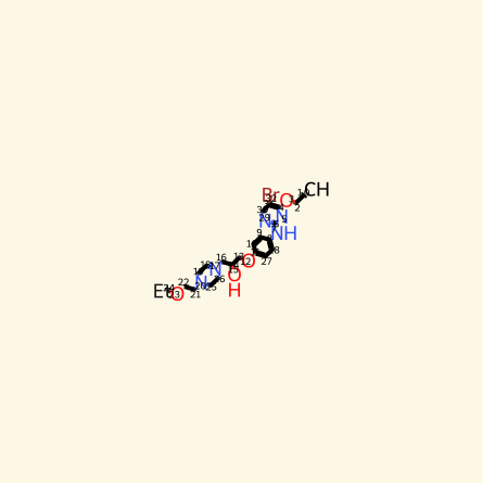 C#CCOc1nc(Nc2ccc(OCC(O)CN3CCN(CCOCC)CC3)cc2)ncc1Br